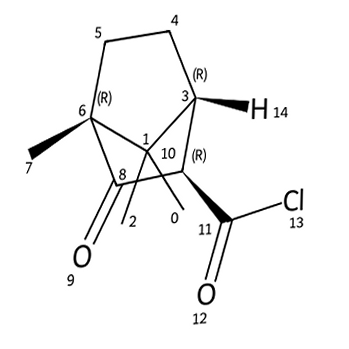 CC1(C)[C@@H]2CC[C@@]1(C)C(=O)[C@@H]2C(=O)Cl